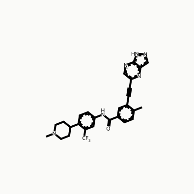 Cc1ccc(C(=O)Nc2ccc(C3CCN(C)CC3)c(C(F)(F)F)c2)cc1C#Cc1cnc2[nH]ncc2n1